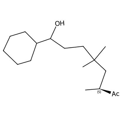 CC(=O)[C@@H](C)CC(C)(C)CCC(O)C1CCCCC1